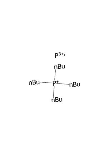 CCCC[P+](CCCC)(CCCC)CCCC.[P+3]